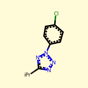 CC(C)c1nnn(-c2ccc(Cl)cc2)n1